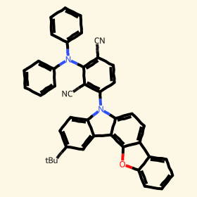 CC(C)(C)c1ccc2c(c1)c1c3oc4ccccc4c3ccc1n2-c1ccc(C#N)c(N(c2ccccc2)c2ccccc2)c1C#N